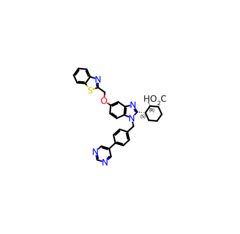 O=C(O)[C@@H]1CCCC[C@@H]1c1nc2cc(OCc3nc4ccccc4s3)ccc2n1Cc1ccc(-c2cncnc2)cc1